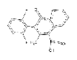 Cc1c(C(=O)O)c2ccccc2c(=O)n1-c1c(F)cccc1F